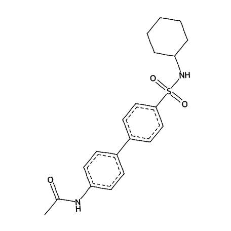 CC(=O)Nc1ccc(-c2ccc(S(=O)(=O)NC3CCCCC3)cc2)cc1